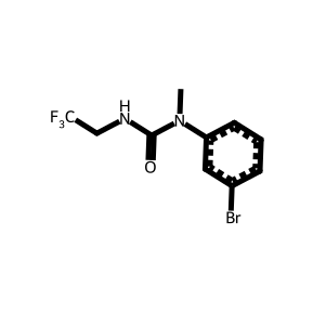 CN(C(=O)NCC(F)(F)F)c1cccc(Br)c1